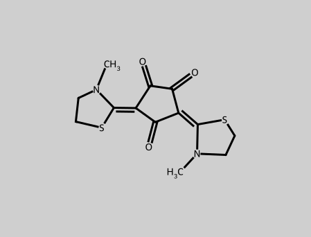 CN1CCSC1=c1c(=O)c(=O)c(=C2SCCN2C)c1=O